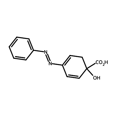 O=C(O)C1(O)C=CC(N=Nc2ccccc2)=CC1